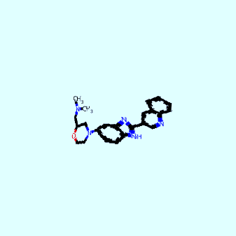 CN(C)CC1CN(c2ccc3[nH]c(-c4cnc5ccccc5c4)nc3c2)CCO1